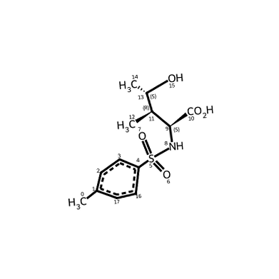 Cc1ccc(S(=O)(=O)N[C@H](C(=O)O)[C@@H](C)[C@H](C)O)cc1